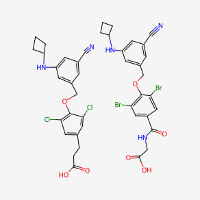 N#Cc1cc(COc2c(Br)cc(C(=O)NCC(=O)O)cc2Br)cc(NC2CCC2)c1.N#Cc1cc(COc2c(Cl)cc(CCC(=O)O)cc2Cl)cc(NC2CCC2)c1